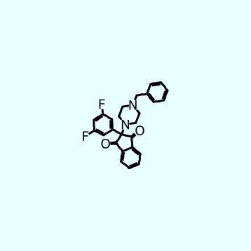 O=C1c2ccccc2C(=O)C1(c1cc(F)cc(F)c1)N1CCN(Cc2ccccc2)CC1